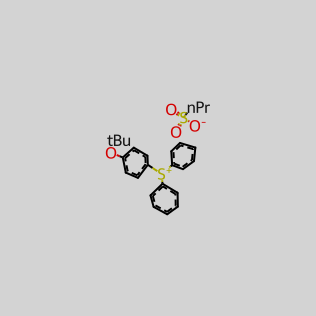 CC(C)(C)Oc1ccc([S+](c2ccccc2)c2ccccc2)cc1.CCCS(=O)(=O)[O-]